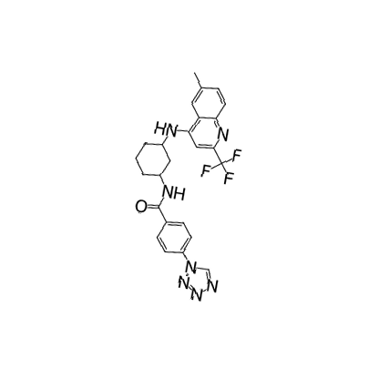 Cc1ccc2nc(C(F)(F)F)cc(NC3CCCC(NC(=O)c4ccc(-n5cnnn5)cc4)C3)c2c1